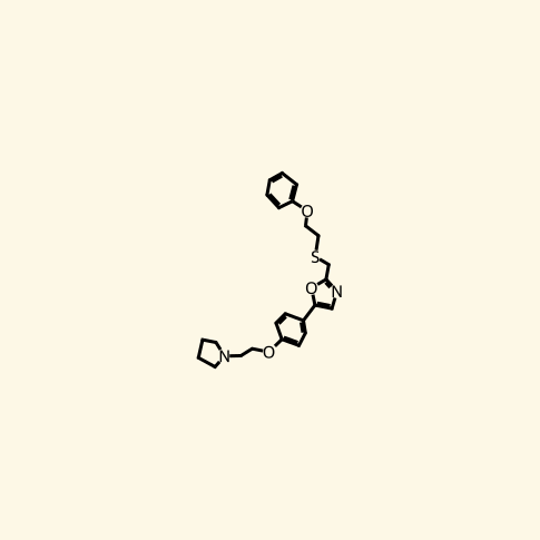 c1ccc(OCCSCc2ncc(-c3ccc(OCCN4CCCC4)cc3)o2)cc1